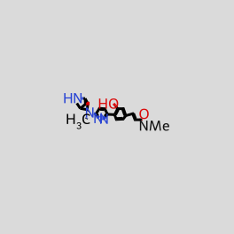 CNC(=O)/C=C/c1ccc(-c2ccc(N(C)[C@H]3CC4CC3CN4)nn2)c(O)c1